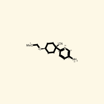 COCO[C@H]1CC[C@](C#N)(c2ccc(N)cn2)CC1